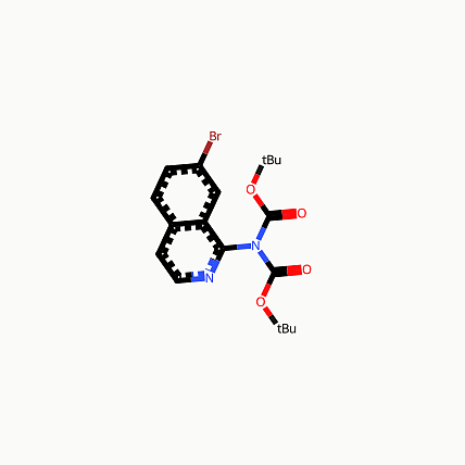 CC(C)(C)OC(=O)N(C(=O)OC(C)(C)C)c1nccc2ccc(Br)cc12